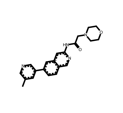 Cc1cncc(-c2ccc3cnc(NC(=O)CN4CCOCC4)cc3c2)c1